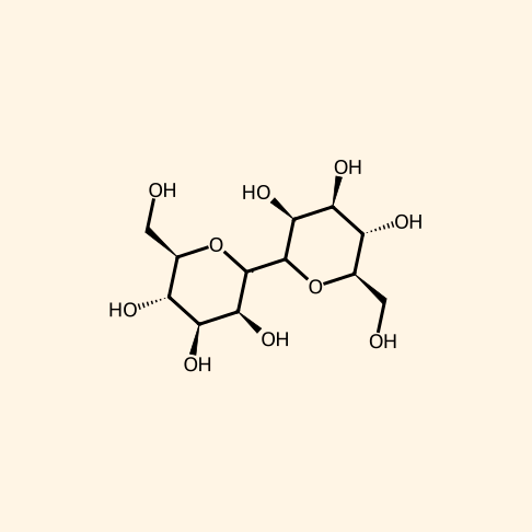 OC[C@H]1O[C](C2O[C@H](CO)[C@@H](O)[C@H](O)[C@@H]2O)[C@@H](O)[C@@H](O)[C@@H]1O